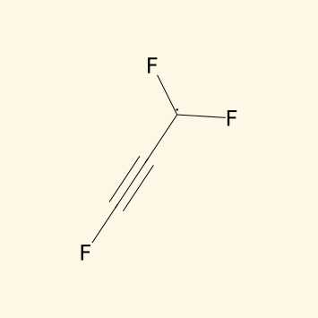 FC#C[C](F)F